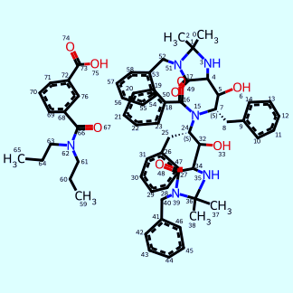 CC1(C)NC(C(O)[C@H](Cc2ccccc2)N(C(=O)c2ccccc2)[C@@H](Cc2ccccc2)C(O)C2NC(C)(C)N(Cc3ccccc3)C2=O)C(=O)N1Cc1ccccc1.CCCN(CCC)C(=O)c1cccc(C(=O)O)c1